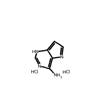 Cl.Cl.Nc1nc[nH]c2ccnc1-2